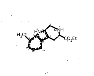 CCOC(=O)C1Cc2c([nH]c3c(C)cccc23)CN1